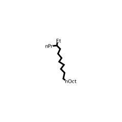 [CH2]CCCCCCCCCCCCCCCC(CC)CC[CH2]